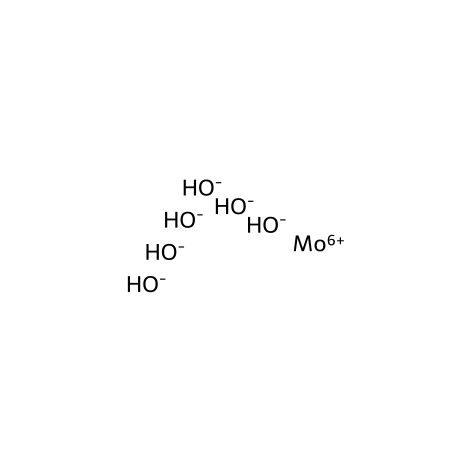 [Mo+6].[OH-].[OH-].[OH-].[OH-].[OH-].[OH-]